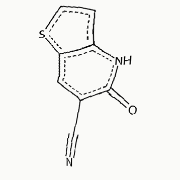 N#Cc1cc2sccc2[nH]c1=O